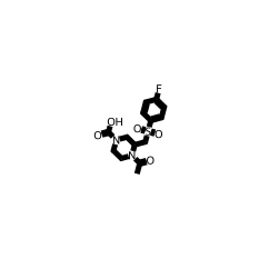 CC(=O)N1CCN(C(=O)O)CC1CS(=O)(=O)c1ccc(F)cc1